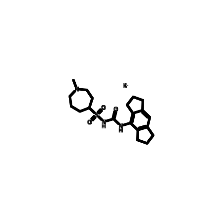 CN1CCCC(S(=O)(=O)NC(=O)Nc2c3c(cc4c2CCC4)CCC3)CC1.[K]